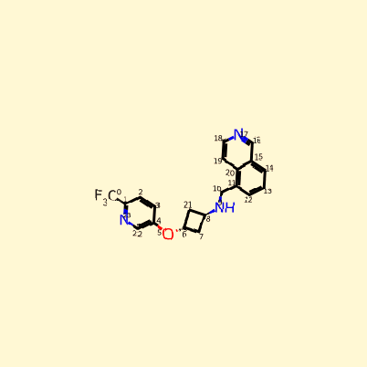 FC(F)(F)c1ccc(O[C@H]2C[C@H](NCc3cccc4cnccc34)C2)cn1